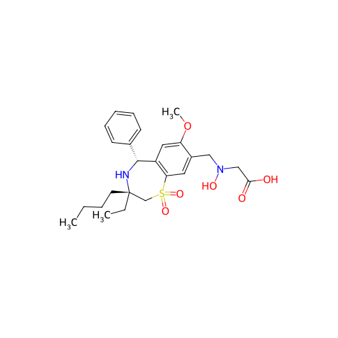 CCCC[C@]1(CC)CS(=O)(=O)c2cc(CN(O)CC(=O)O)c(OC)cc2[C@@H](c2ccccc2)N1